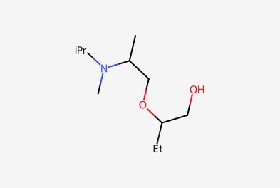 CCC(CO)OCC(C)N(C)C(C)C